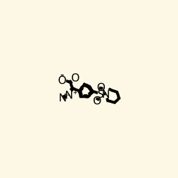 COC(=O)C(=[N+]=[N-])c1ccc(S(=O)(=O)N2CCCCC2)cc1